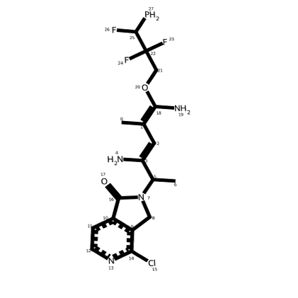 CC(/C=C(\N)C(C)N1Cc2c(ccnc2Cl)C1=O)=C(/N)OCC(F)(F)C(F)P